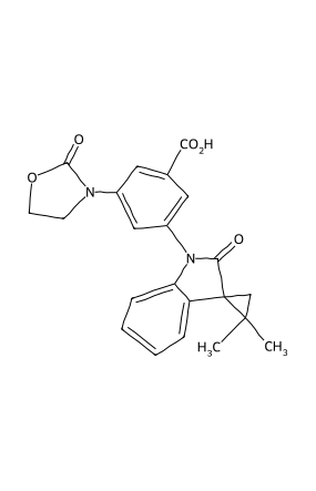 CC1(C)CC12C(=O)N(c1cc(C(=O)O)cc(N3CCOC3=O)c1)c1ccccc12